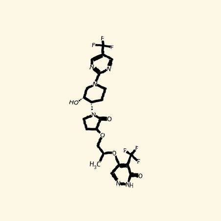 CC(COC1CCN([C@H]2CCN(c3ncc(C(F)(F)F)cn3)C[C@H]2O)C1=O)Oc1cn[nH]c(=O)c1C(F)(F)F